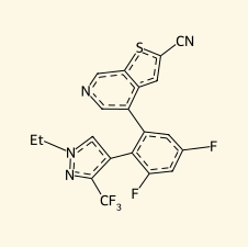 CCn1cc(-c2c(F)cc(F)cc2-c2cncc3sc(C#N)cc23)c(C(F)(F)F)n1